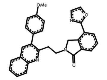 COc1ccc(-c2cc3ccccc3nc2CCN2Cc3c(cccc3-c3ncco3)C2=O)cc1